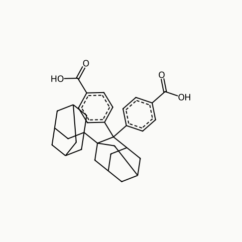 O=C(O)c1ccc(C2(c3ccc(C(=O)O)cc3)C3CC4CC(C3)CC2(C23CC5CC(CC(C5)C2)C3)C4)cc1